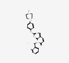 CC(c1ccccc1Br)n1c(=O)ccc2cnc(Nc3ccc(N4CCN(C)CC4)cc3)nc21